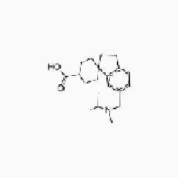 CC(C)N(C)Cc1ccc2c(c1)C1(CC2)CCC(C(=O)O)CC1